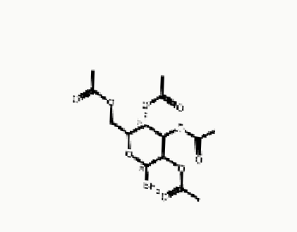 B[C@H]1OC(COC(C)=O)[C@H](OC(C)=O)C(OC(C)=O)C1OC(C)=O